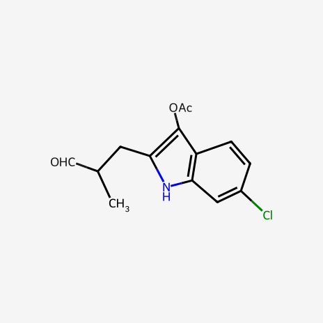 CC(=O)Oc1c(CC(C)C=O)[nH]c2cc(Cl)ccc12